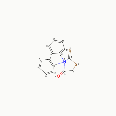 O=C1CSC(=S)[N+]1(c1ccccc1)c1ccccc1